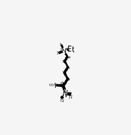 CC[N+](C)(C)CCCCCC(I)N(C)C